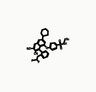 CCCCNS(=O)(=O)c1ccc(Oc2cc(C3CCCCC3)cc3cc(C#N)c(C#N)c(-c4ccccc4CC(F)F)c23)cc1